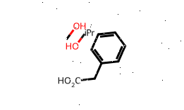 CC(C)O.CO.O=C(O)Cc1ccccc1